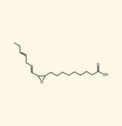 CCC=CCC=CC1OC1CCCCCCCCC(=O)O